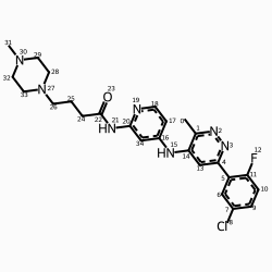 Cc1nnc(-c2cc(Cl)ccc2F)cc1Nc1ccnc(NC(=O)CCCN2CCN(C)CC2)c1